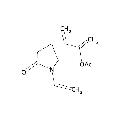 C=CC(=C)OC(C)=O.C=CN1CCCC1=O